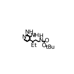 CCC(CCNC(=O)OC(C)(C)C)c1ccnc(N)c1N